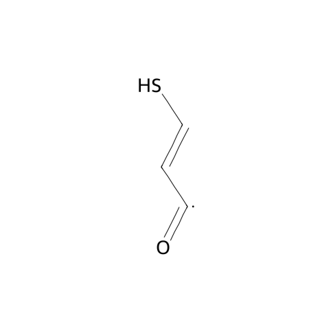 O=[C]C=CS